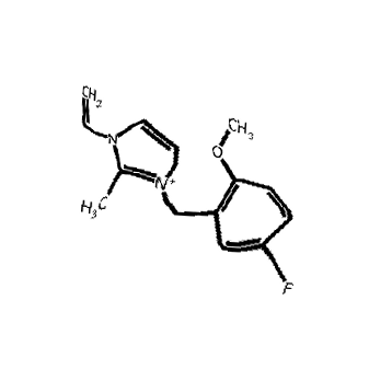 C=Cn1cc[n+](Cc2cc(F)ccc2OC)c1C